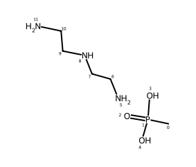 CP(=O)(O)O.NCCNCCN